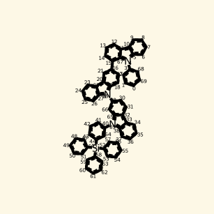 c1ccc(-n2c3ccccc3c3cccc(-c4ccc5c(c4)c4ccccc4n5-c4ccc5c6ccccc6n(-c6cccc([Si](c7ccccc7)(c7ccccc7)c7ccccc7)c6)c5c4)c32)cc1